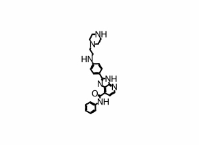 O=C(Nc1ccccc1)c1ccnc2[nH]c(-c3ccc(NCCN4CCNCC4)cc3)nc12